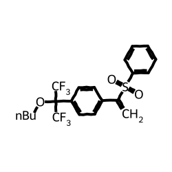 C=C(c1ccc(C(OCCCC)(C(F)(F)F)C(F)(F)F)cc1)S(=O)(=O)c1ccccc1